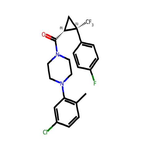 Cc1ccc(Cl)cc1N1CCN(C(=O)[C@@H]2C[C@]2(c2ccc(F)cc2)C(F)(F)F)CC1